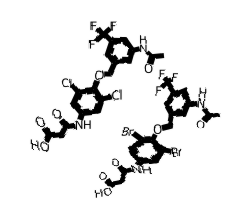 CC(=O)Nc1cc(COc2c(Br)cc(NC(=O)CC(=O)O)cc2Br)cc(C(F)(F)F)c1.CC(=O)Nc1cc(COc2c(Cl)cc(NC(=O)CC(=O)O)cc2Cl)cc(C(F)(F)F)c1